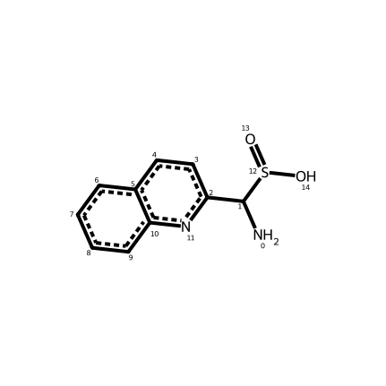 NC(c1ccc2ccccc2n1)S(=O)O